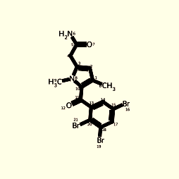 Cc1cc(CC(N)=O)n(C)c1C(=O)c1cc(Br)cc(Br)c1Br